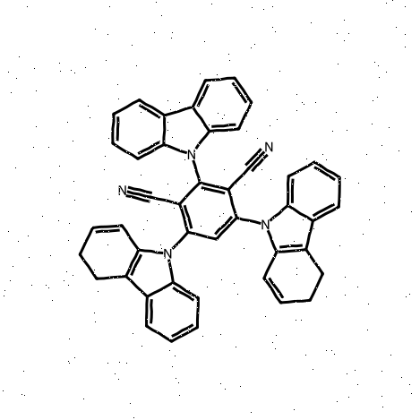 N#Cc1c(-n2c3c(c4ccccc42)CCC=C3)cc(-n2c3c(c4ccccc42)CCC=C3)c(C#N)c1-n1c2ccccc2c2ccccc21